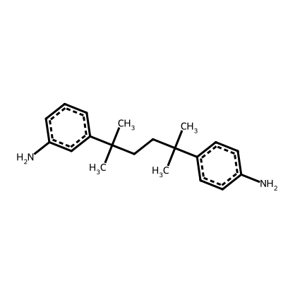 CC(C)(CCC(C)(C)c1cccc(N)c1)c1ccc(N)cc1